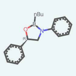 CCCCB1O[C@H](c2ccccc2)CN1c1ccccc1